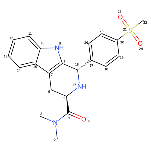 CN(C)C(=O)[C@H]1Cc2c([nH]c3ccccc23)[C@H](c2ccc(S(C)(=O)=O)cc2)N1